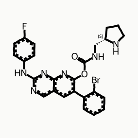 O=C(NC[C@@H]1CCCN1)Oc1nc2nc(Nc3ccc(F)cc3)ncc2cc1-c1ccccc1Br